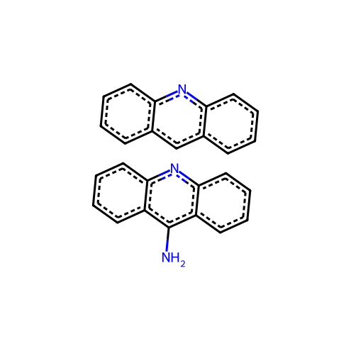 Nc1c2ccccc2nc2ccccc12.c1ccc2nc3ccccc3cc2c1